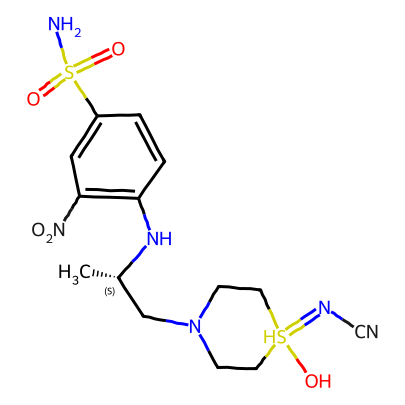 C[C@@H](CN1CC[SH](O)(=NC#N)CC1)Nc1ccc(S(N)(=O)=O)cc1[N+](=O)[O-]